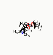 Cc1cc(CC2(C)OB(B3OC(C)(C)C(C)(C)O3)OC2(C)C)cc(C(F)(F)F)n1